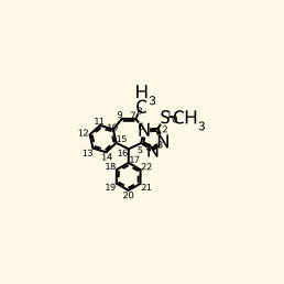 CSc1nnc2n1C(C)=Cc1ccccc1C2c1ccccc1